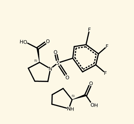 O=C(O)[C@@H]1CCCN1.O=C(O)[C@@H]1CCCN1S(=O)(=O)c1cc(F)c(F)c(F)c1